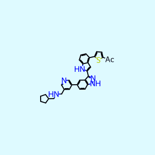 CC(=O)c1ccc(-c2cccc3[nH]c(-c4n[nH]c5ccc(-c6cncc(CNCC7CCCC7)c6)cc45)cc23)s1